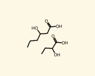 CCC(O)C(=O)O.CCCC(O)CC(=O)O